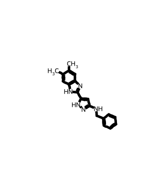 Cc1cc2nc(-c3cc(NCc4ccccc4)n[nH]3)[nH]c2cc1C